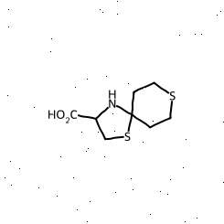 O=C(O)C1CSC2(CCSCC2)N1